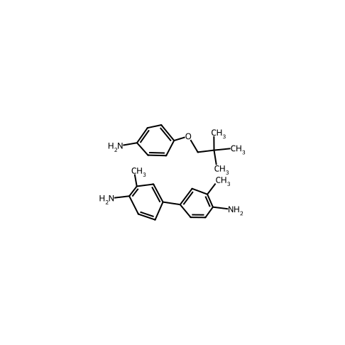 CC(C)(C)COc1ccc(N)cc1.Cc1cc(-c2ccc(N)c(C)c2)ccc1N